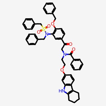 O=C(CN(CCOc1ccc2c3c([nH]c2c1)CCCC3)C(=O)c1ccccc1)c1ccc(OCc2ccccc2)c(N(Cc2ccccc2)S(=O)(=O)Cc2ccccc2)c1